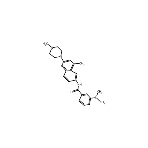 Cc1cc(N2CCN(C)CC2)nc2ccc(NC(=O)c3cccc(N(C)C)c3)cc12